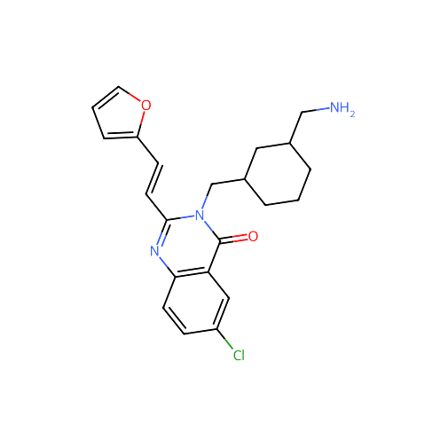 NCC1CCCC(Cn2c(C=Cc3ccco3)nc3ccc(Cl)cc3c2=O)C1